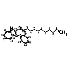 CCCCCCCCCCN(Sc1nc2ccccc2s1)c1ccccc1